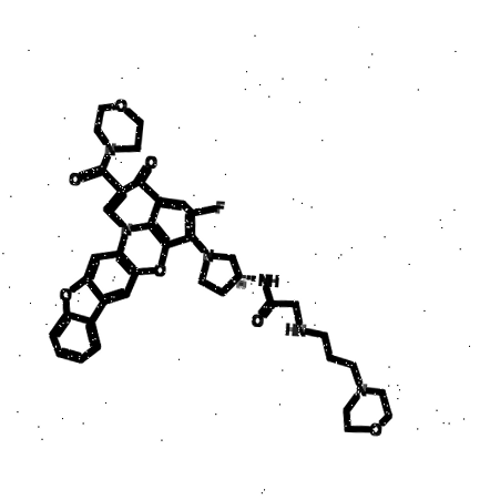 O=C(CNCCCN1CCOCC1)N[C@@H]1CCN(c2c(F)cc3c(=O)c(C(=O)N4CCOCC4)cn4c3c2Oc2cc3c(cc2-4)oc2ccccc23)C1